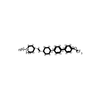 CCC[Si@H]1CC[C@H](CC[C@H]2CC[C@H](c3ccc(-c4ccc(OC(F)(F)F)cc4)cc3)CC2)CC1